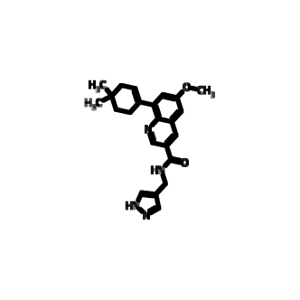 COc1cc(C2=CCC(C)(C)CC2)c2ncc(C(=O)NCc3cn[nH]c3)cc2c1